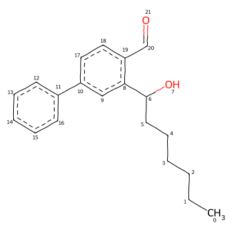 CCCCCCC(O)c1cc(-c2ccccc2)ccc1C=O